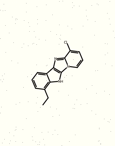 CCc1cccc2c1[nH]c1c2nc2c(Cl)cccn21